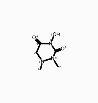 CN1CC(=O)N(O)C(=O)N1C